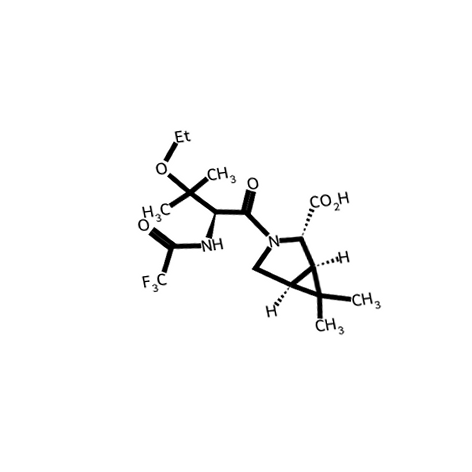 CCOC(C)(C)[C@H](NC(=O)C(F)(F)F)C(=O)N1C[C@H]2[C@@H]([C@H]1C(=O)O)C2(C)C